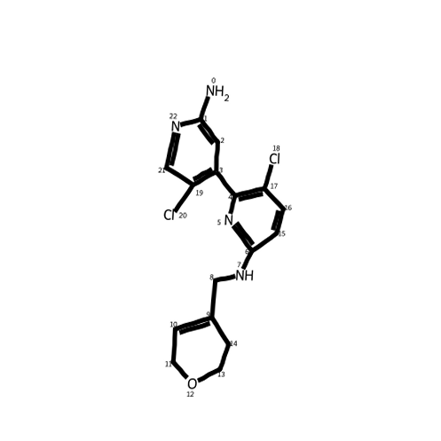 Nc1cc(-c2nc(NCC3=CCOCC3)ccc2Cl)c(Cl)cn1